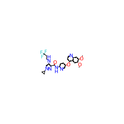 COc1cc2nccc(Oc3ccc(NC(=O)c4nn(C5CC5)cc4NCCC(F)(F)F)nc3)c2cc1OC